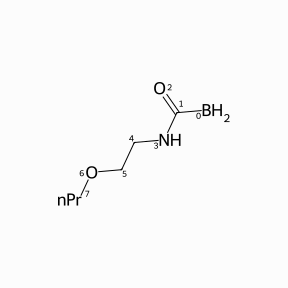 BC(=O)NCCOCCC